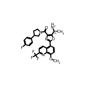 COc1ccc(-c2nc(C(=O)N3CCC(c4ccc(F)cc4)C3)c([C@H](C)N)o2)c2ccc(C(F)(F)F)nc12